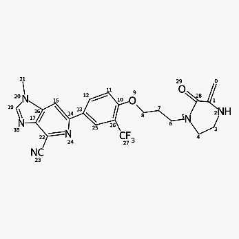 C=C1NCCN(CCCOc2ccc(-c3cc4c(ncn4C)c(C#N)n3)cc2C(F)(F)F)C1=O